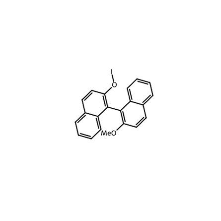 COc1ccc2ccccc2c1-c1c(OI)ccc2ccccc12